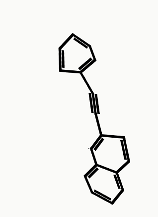 C(#Cc1ccccc1)c1[c]c2ccccc2cc1